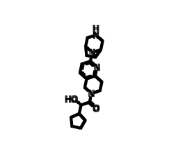 O=C([C@H](O)C1CCCC1)N1CCc2nc(N3C4CCC3CNC4)ccc2C1